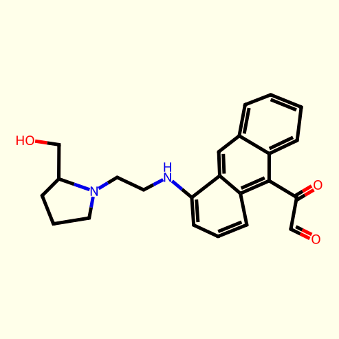 O=CC(=O)c1c2ccccc2cc2c(NCCN3CCCC3CO)cccc12